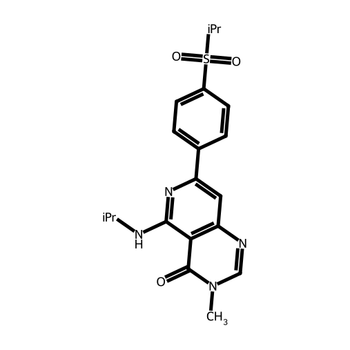 CC(C)Nc1nc(-c2ccc(S(=O)(=O)C(C)C)cc2)cc2ncn(C)c(=O)c12